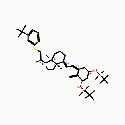 C=C1/C(=C\C=C2/CCC[C@]3(C)[C@@H]([C@@H](C)CSc4cccc(C(C)(C)C)c4)CC[C@@H]23)C[C@@H](O[Si](C)(C)C(C)(C)C)C[C@@H]1O[Si](C)(C)C(C)(C)C